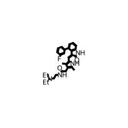 CCN(CC)CCNC(=O)Cc1c(C)[nH]c(/C=C2\C(=O)Nc3cccc(-c4cccc(F)c4)c32)c1C